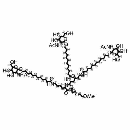 COCCOCCNC(=O)C(CCCCNC(=O)CCCCCCCCCCCOC1OC(CO)C(O)C(O)C1NC(C)=O)NC(=O)C(CCCCNC(=O)CCCCCCCCCCCOC1OC(CO)C(O)C(O)C1NC(C)=O)NC(=O)CCCCCCCCCCCOC1OC(CO)C(O)C(O)C1NC(C)=O